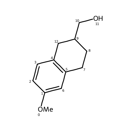 COc1ccc2c(c1)CCC(CO)C2